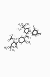 CC(=O)NC(CC(C)(C)C)C(=O)N1CCN(C(=O)[C@@H]2CN(C(C)(C)C)C[C@H]2c2ccc(F)cc2F)[C@@H](C)C1